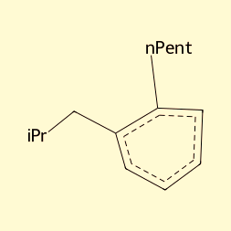 CCCCCc1ccccc1CC(C)C